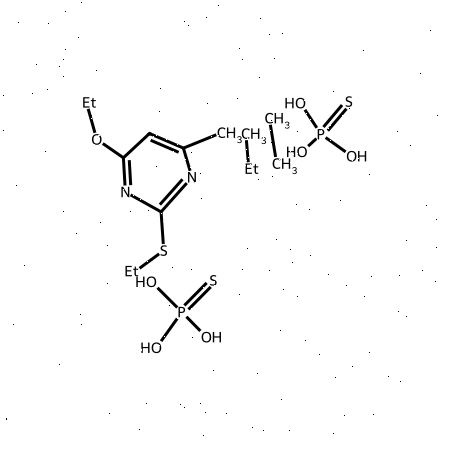 CC.CCC.CCOc1cc(C)nc(SCC)n1.OP(O)(O)=S.OP(O)(O)=S